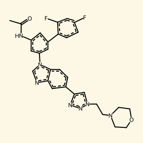 CC(=O)Nc1cc(-c2ccc(F)cc2F)cc(-n2cnc3cc(-c4cn(CCN5CCOCC5)nn4)ccc32)c1